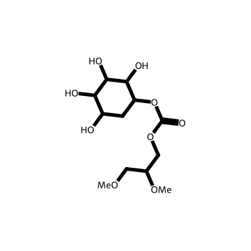 COCC(COC(=O)OC1CC(O)C(O)C(O)C1O)OC